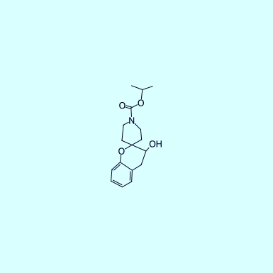 CC(C)OC(=O)N1CCC2(CC1)Oc1ccccc1CC2O